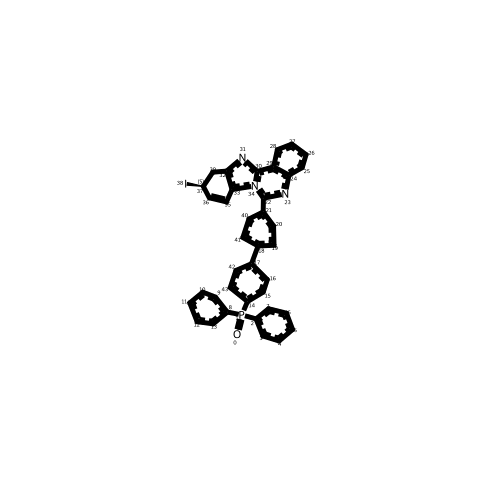 O=P(c1ccccc1)(c1ccccc1)c1ccc(-c2ccc(-c3nc4ccccc4c4nc5c(n34)C=C[C@@H](I)C5)cc2)cc1